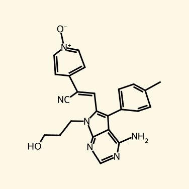 Cc1ccc(-c2c(C=C(C#N)c3cc[n+]([O-])cc3)n(CCCO)c3ncnc(N)c23)cc1